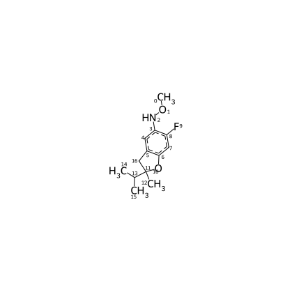 CONc1cc2c(cc1F)OC(C)(C(C)C)C2